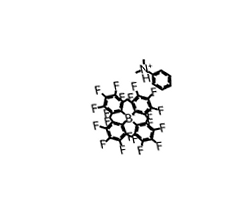 C[NH+](C)c1ccccc1.Fc1c(F)c(F)c([B-](c2c(F)c(F)c(F)c(F)c2F)(c2c(F)c(F)c(F)c(F)c2F)c2c(F)c(F)c(F)c(F)c2F)c(F)c1F